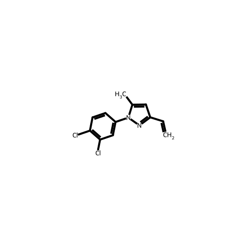 C=Cc1cc(C)n(-c2ccc(Cl)c(Cl)c2)n1